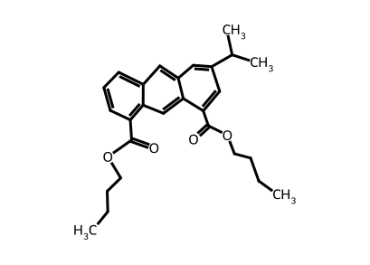 CCCCOC(=O)c1cccc2cc3cc(C(C)C)cc(C(=O)OCCCC)c3cc12